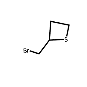 BrCC1CCS1